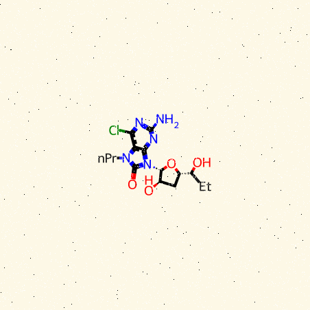 CCCn1c(=O)n([C@@H]2O[C@H](C(O)CC)C[C@H]2O)c2nc(N)nc(Cl)c21